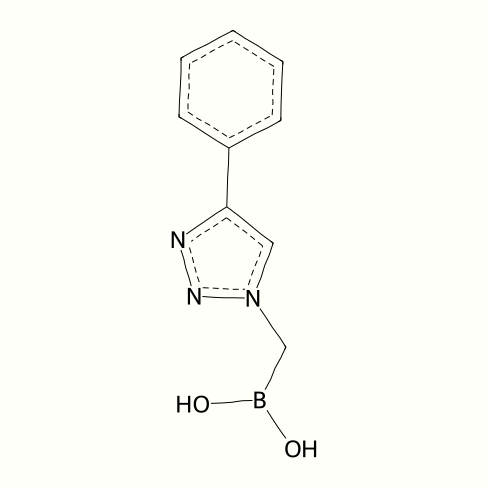 OB(O)Cn1cc(-c2ccccc2)nn1